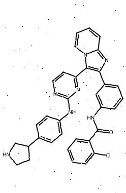 O=C(Nc1cccc(-c2nc3ccccn3c2-c2ccnc(Nc3ccc(C4CCNC4)cc3)n2)c1)c1ccccc1Cl